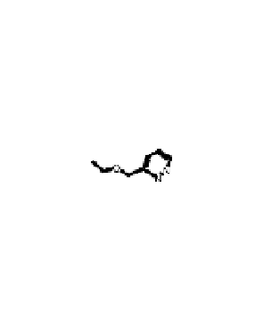 CCOCc1cccnn1